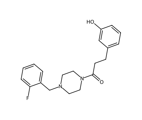 O=C(CCc1cccc(O)c1)N1CCN(Cc2ccccc2F)CC1